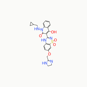 O=c1c(C2=NS(=O)(=O)c3cc(OCC4=NCCN4)ccc3N2)c(O)c2ccccc2n1NCC1CC1